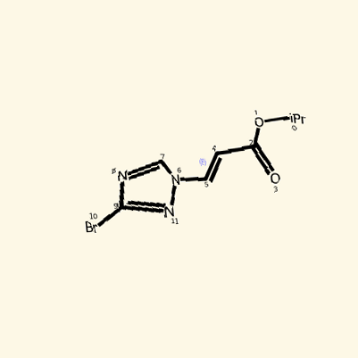 CC(C)OC(=O)/C=C/n1cnc(Br)n1